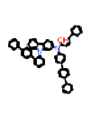 OC(/C=C\Cc1ccccc1)N(c1ccc(-c2ccc(-c3ccccc3)cc2)cc1)c1ccc2c3ccccc3n(-c3ccccc3-c3ccc(-c4ccccc4)cc3)c2c1